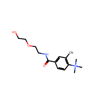 C[N+](C)(C)c1ccc(C(=O)NCCOCCO)cc1C#N